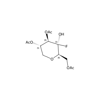 CC(=O)OC[C@H]1OC[C@H](OC(C)=O)[C@@H](OC(C)=O)[C@@]1(O)F